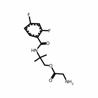 CC(C)(COC(=O)CN)NC(=O)c1ccc(F)cc1F